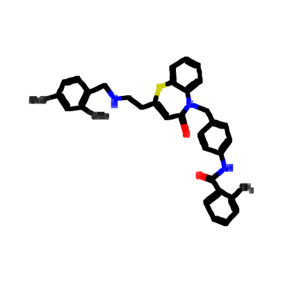 COc1ccc(CNCCC2=CC(=O)N(Cc3ccc(NC(=O)c4ccccc4C)cc3)c3ccccc3S2)c(OC)c1